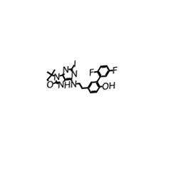 CC1(C)COc2nc3c(NCCc4ccc(O)c(-c5cc(F)ccc5F)c4)nc(I)nc3n21